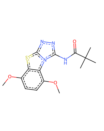 COc1ccc(OC)c2c1sc1nnc(NC(=O)C(C)(C)C)n12